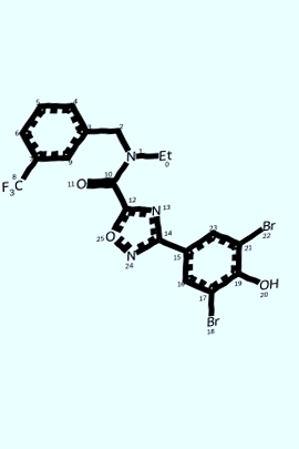 CCN(Cc1cccc(C(F)(F)F)c1)C(=O)c1nc(-c2cc(Br)c(O)c(Br)c2)no1